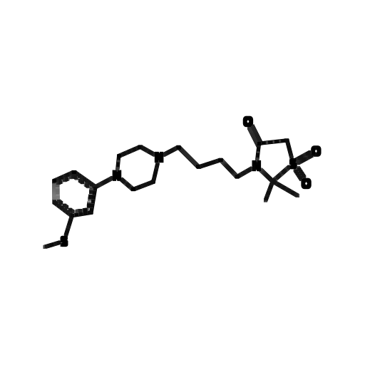 CSc1cccc(N2CCN(CCCCN3C(=O)CS(=O)(=O)C3(C)C)CC2)c1